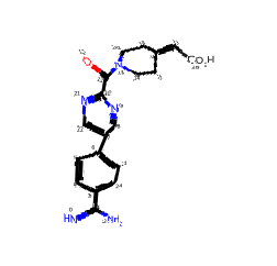 N=C(N)c1ccc(-c2cnc(C(=O)N3CCC(=CC(=O)O)CC3)nc2)cc1